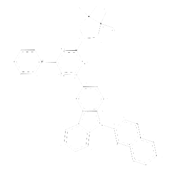 CC1(C)OB(c2nc(-c3ccccc3)nc(-c3ccc4c(c3)c3ccccc3n4-c3ccc4ccccc4c3)n2)OC1(C)C